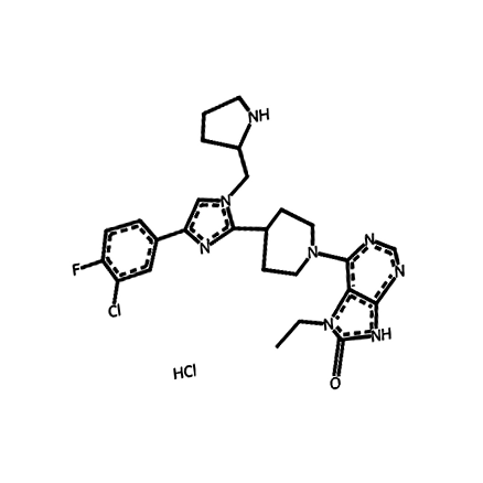 CCn1c(=O)[nH]c2ncnc(N3CCC(c4nc(-c5ccc(F)c(Cl)c5)cn4CC4CCCN4)CC3)c21.Cl